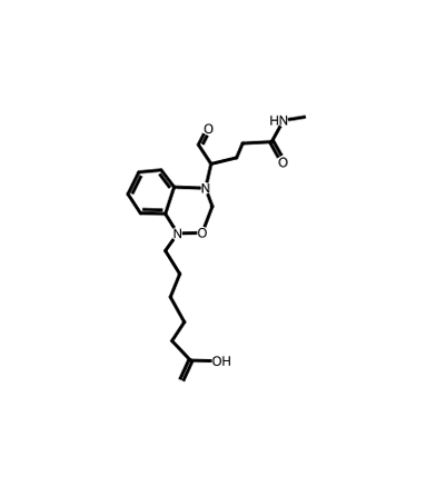 C=C(O)CCCCCN1OCN(C(C=O)CCC(=O)NC)c2ccccc21